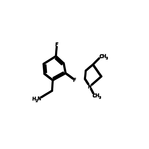 CC1CCN(C)C1.NCc1ccc(F)cc1F